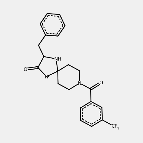 O=C1[N]C2(CCN(C(=O)c3cccc(C(F)(F)F)c3)CC2)NC1Cc1ccccc1